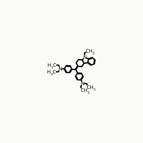 CCN(CC)c1ccc(C(=C2CCC3C(C2)c2ccccc2N3CC)c2ccc(N(CC)CC)cc2)cc1